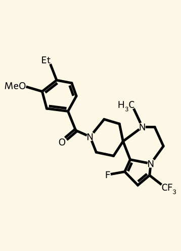 CCc1ccc(C(=O)N2CCC3(CC2)c2c(F)cc(C(F)(F)F)n2CCN3C)cc1OC